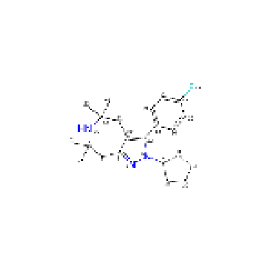 CC1(C)Cc2nn(C3CCCC3)c(-c3ccc(F)cc3)c2CC(C)(C)N1